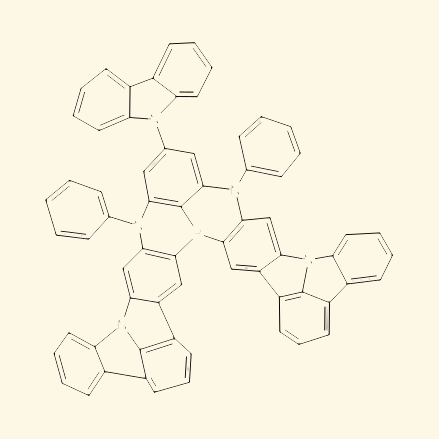 c1ccc(N2c3cc4c(cc3B3c5cc6c7cccc8c9ccccc9n(c6cc5N(c5ccccc5)c5cc(-n6c9ccccc9c9ccccc96)cc2c53)c87)c2cccc3c5ccccc5n4c32)cc1